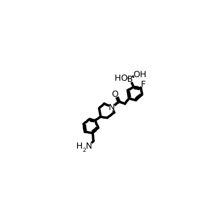 NCc1cccc(C2CCN(C(=O)Cc3ccc(F)c(B(O)O)c3)CC2)c1